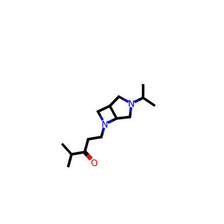 CC(C)C(=O)CCN1CC2CN(C(C)C)CC21